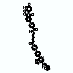 O=C1CCC(N2C(=O)c3ccc(N4CCC(C(=O)NCCCCCC(=O)N5CCN(c6ccc(-c7ncc(NCc8ccco8)n8cnnc78)cc6)CC5)CC4)cc3C2=O)C(=O)N1